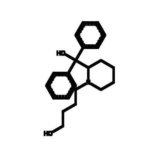 OCCCCN1CCCCC1C(O)(c1ccccc1)c1ccccc1